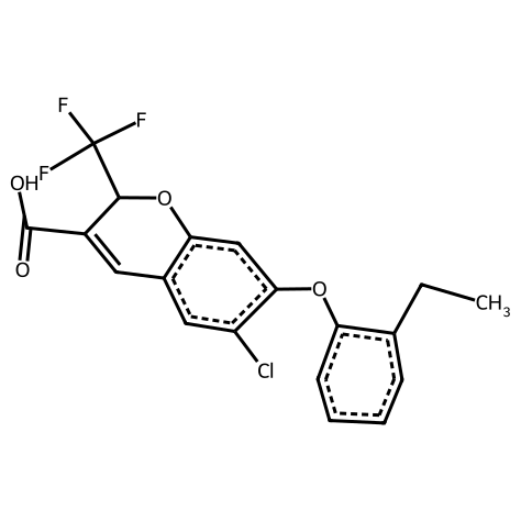 CCc1ccccc1Oc1cc2c(cc1Cl)C=C(C(=O)O)C(C(F)(F)F)O2